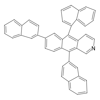 c1ccc2cc(-c3ccc4c(-c5ccc6ccccc6c5)c5cnccc5c(-c5cccc6ccccc56)c4c3)ccc2c1